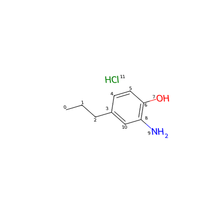 CCCc1ccc(O)c(N)c1.Cl